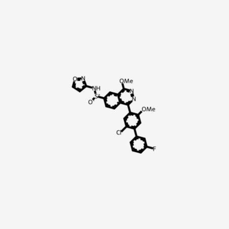 COc1cc(-c2cccc(F)c2)c(Cl)cc1-c1nnc(OC)c2cc([S+]([O-])Nc3ccon3)ccc12